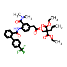 C=CCC(COC(=O)Cc1ccc(NC(=O)c2ccccc2-c2ccc(C(F)(F)F)cc2)c(C(=O)N(C)C)c1)(C(=O)OCC)C(=O)OCC